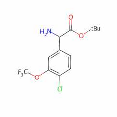 CC(C)(C)OC(=O)C(N)c1ccc(Cl)c(OC(F)(F)F)c1